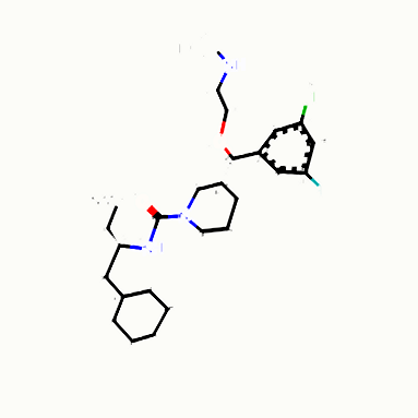 CNC[C@H](CC1CCCCC1)NC(=O)N1CCC[C@@H](C(OCCNC(=O)O)c2cc(F)cc(Cl)c2)C1